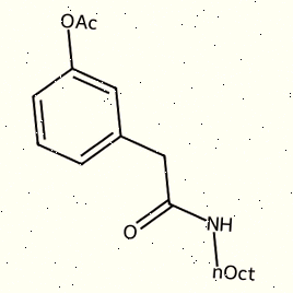 CCCCCCCCNC(=O)Cc1cccc(OC(C)=O)c1